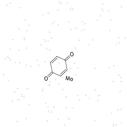 O=C1C=CC(=O)C=C1.[Mo]